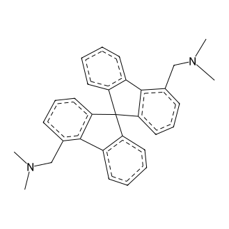 CN(C)Cc1cccc2c1-c1ccccc1C21c2ccccc2-c2c(CN(C)C)cccc21